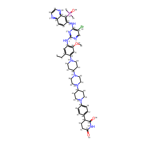 CCc1cc(Nc2ncc(Br)c(Nc3ccc4nccnc4c3P(C)(C)=O)n2)c(OC)cc1N1CCC(N2CCN(C3CCN(c4ccc(C5CCC(=O)NC5=O)cc4)CC3)CC2)CC1